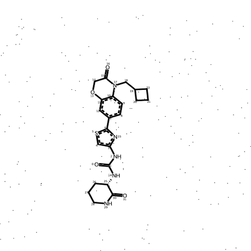 O=C(Nc1csc(-c2ccc3c(c2)OCC(=O)N3CC2CCC2)n1)N[C@H]1CCCNC1=O